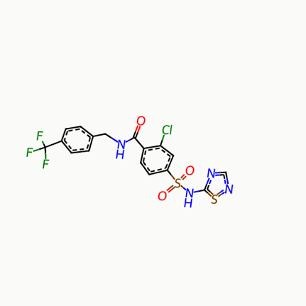 O=C(NCc1ccc(C(F)(F)F)cc1)c1ccc(S(=O)(=O)Nc2ncns2)cc1Cl